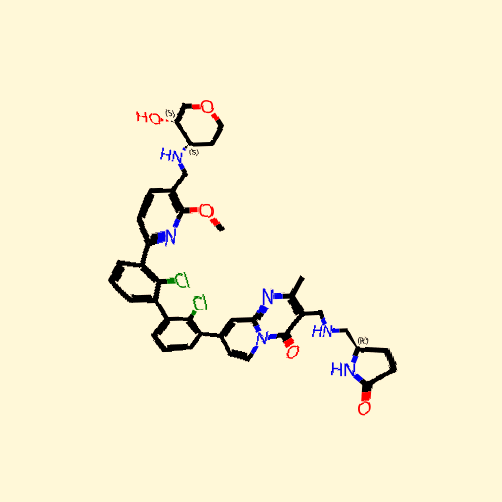 COc1nc(-c2cccc(-c3cccc(-c4ccn5c(=O)c(CNC[C@H]6CCC(=O)N6)c(C)nc5c4)c3Cl)c2Cl)ccc1CN[C@H]1CCOC[C@H]1O